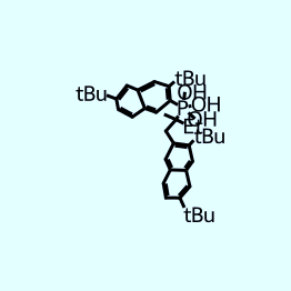 CCC(C)(Cc1cc2ccc(C(C)(C)C)cc2cc1C(C)(C)C)P(O)(O)(O)c1cc2ccc(C(C)(C)C)cc2cc1C(C)(C)C